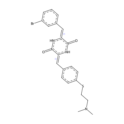 CN(C)CCSc1ccc(/C=c2\[nH]c(=O)/c(=C/c3cccc(Br)c3)[nH]c2=O)cc1